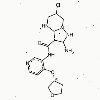 NC1NN2CC(Cl)CNC2C1C(=O)Nc1cnccc1O[C@@H]1CCOC1